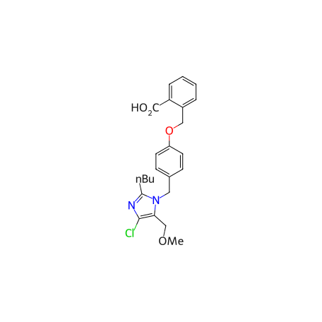 CCCCc1nc(Cl)c(COC)n1Cc1ccc(OCc2ccccc2C(=O)O)cc1